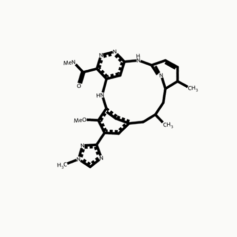 CNC(=O)c1nnc2cc1Nc1cc(cc(-c3ncn(C)n3)c1OC)CC(C)CC1N=C(C=CC1C)N2